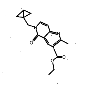 CCOC(=O)c1cc2c(=O)n(CC34CC3C4)ccc2nc1C